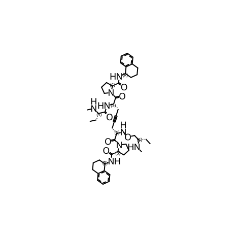 CC[C@@H](CON[C@@H](CC#CC[C@H](NC(=O)[C@H](CC)NC)C(=O)N1CCC[C@H]1C(=O)N[C@@H]1CCCc2ccccc21)C(=O)N1CCC[C@H]1C(=O)N[C@@H]1CCCc2ccccc21)NC